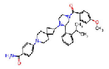 COc1ccc(C(=O)N2CCN(C3CC4(CCN(c5ccc(C(N)=O)cc5)CC4)C3)C(c3ccccc3C(C)C)C2)cc1